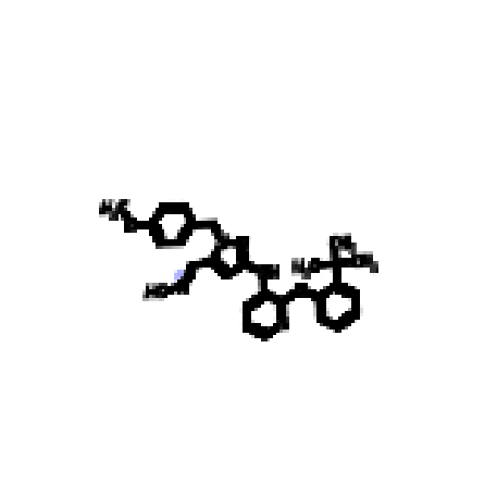 COc1ccc(Cn2nc(Nc3cccnc3Oc3ccccc3C(C)(C)C)cc2/C=N/O)cc1